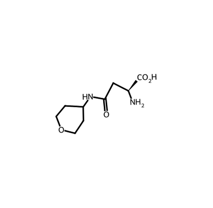 N[C@@H](CC(=O)NC1CCOCC1)C(=O)O